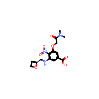 CN(C)C(=O)COc1cc(C(=O)O)cc(NC[C@@H]2CCO2)c1[N+](=O)[O-]